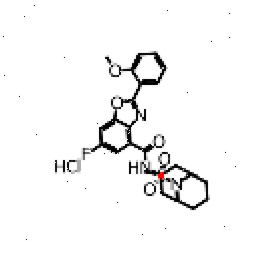 COc1ccccc1-c1nc2c(C(=O)NC3CC4CCCC(C3)N4S(C)(=O)=O)cc(F)cc2o1.Cl